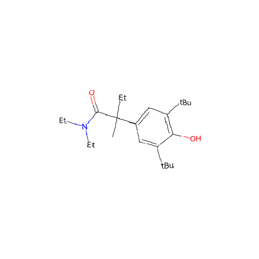 CCN(CC)C(=O)C(C)(CC)c1cc(C(C)(C)C)c(O)c(C(C)(C)C)c1